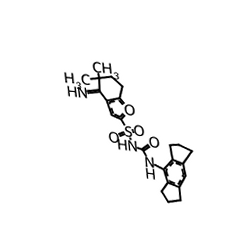 CC1(C)CCc2oc(S(=O)(=O)NC(=O)Nc3c4c(cc5c3CCC5)CCC4)cc2C1=N